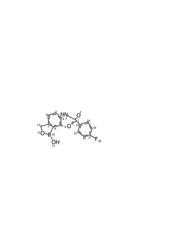 O=S(=O)(Nc1ccc2c(c1)B(O)OC2)c1ccc(F)cc1